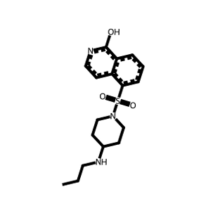 CCCNC1CCN(S(=O)(=O)c2cccc3c(O)nccc23)CC1